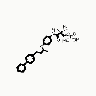 CC(CCc1ccc(-c2ccccc2)cc1)Oc1ccc(NC(=O)[C@@](C)(N)COP(=O)(O)O)cc1